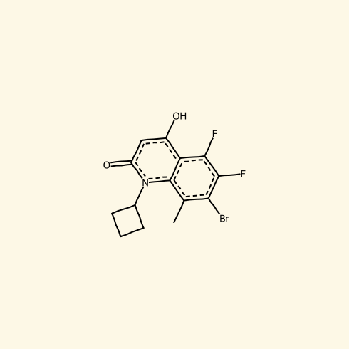 Cc1c(Br)c(F)c(F)c2c(O)cc(=O)n(C3CCC3)c12